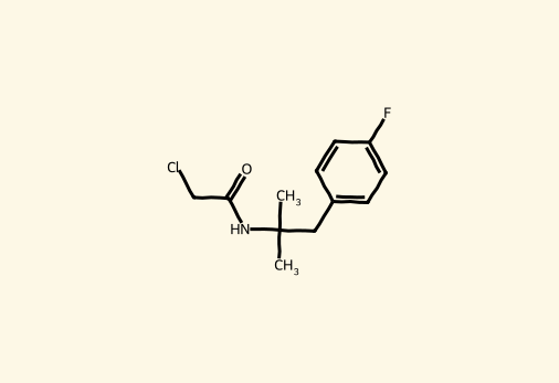 CC(C)(Cc1ccc(F)cc1)NC(=O)CCl